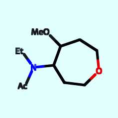 CCN(C(C)=O)C1CCOCCC1OC